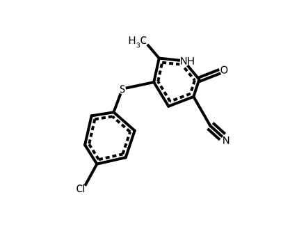 Cc1[nH]c(=O)c(C#N)cc1Sc1ccc(Cl)cc1